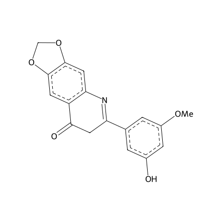 COc1cc(O)cc(C2=Nc3cc4c(cc3C(=O)C2)OCO4)c1